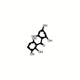 O=C(c1c(O)cc(O)cc1O)c1c(O)ccc(O)c1O